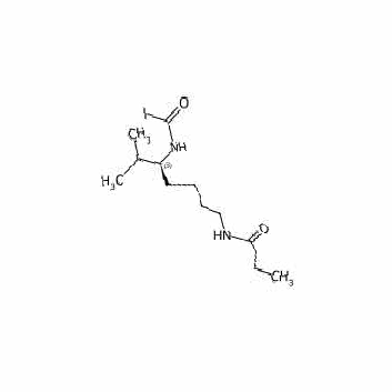 CCC(=O)NCCCC[C@H](NC(=O)I)C(C)C